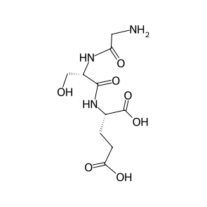 NCC(=O)N[C@@H](CO)C(=O)N[C@@H](CCC(=O)O)C(=O)O